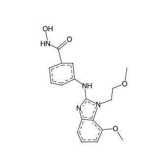 COCCn1c(Nc2cccc(C(=O)NO)c2)nc2cccc(OC)c21